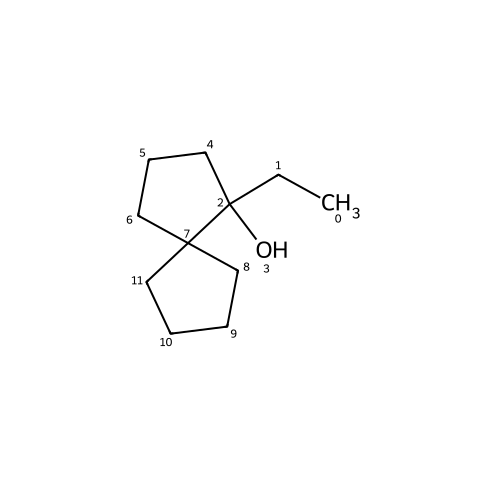 CCC1(O)CCCC12CCCC2